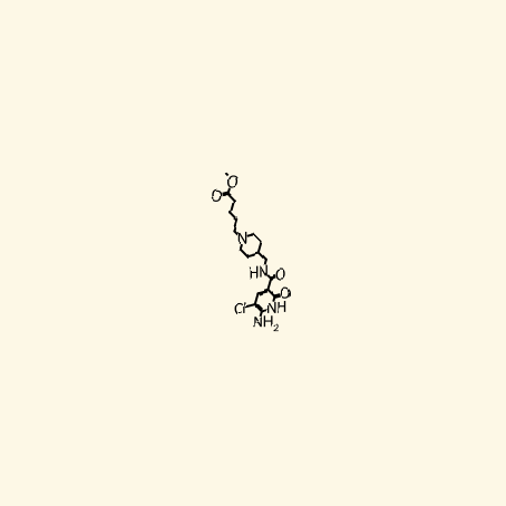 COC(=O)CCCCN1CCC(CNC(=O)c2cc(Cl)c(N)[nH]c2=O)CC1